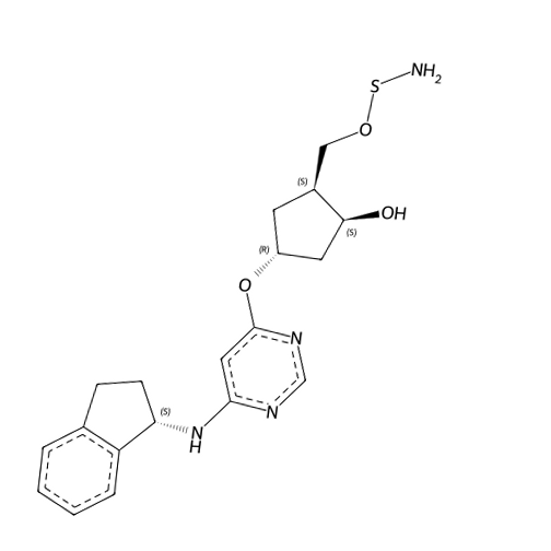 NSOC[C@@H]1C[C@@H](Oc2cc(N[C@H]3CCc4ccccc43)ncn2)C[C@@H]1O